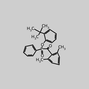 Cc1cccc(C)c1C(=O)P(=O)(Oc1ccccc1C(C)(C)C)c1ccccc1